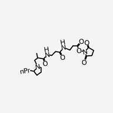 CCCC1CCCN1CC(C)C(=O)NCCC(=O)NCCC(=O)ON1C(=O)CCC1=O